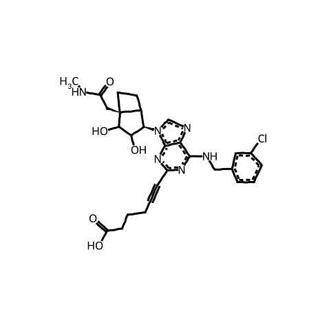 CNC(=O)C[C@@]12CCC1[C@@H](n1cnc3c(NCc4cccc(Cl)c4)nc(C#CCCCC(=O)O)nc31)C(O)C2O